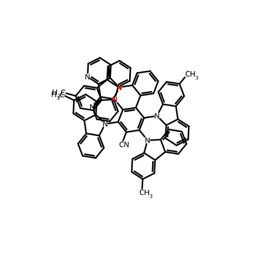 Cc1ccc2c(c1)c1ccccc1n2-c1c(C#N)c(-n2c3ccccc3c3cc(C)ccc32)c(-n2c3ccccc3c3cc(C)ccc32)c(-c2ccccc2-n2c3cccnc3c3ncccc32)c1-n1c2ccccc2c2cc(C)ccc21